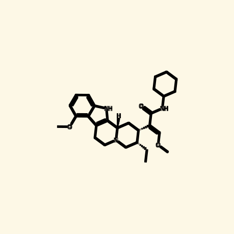 CC[C@@H]1CN2CCc3c([nH]c4cccc(OC)c34)[C@@H]2C[C@@H]1/C(=C\OC)C(=O)NC1CCCCC1